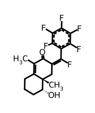 CC1=C2CCC[C@@H](O)[C@@]2(C)C/C(=C(\F)c2c(F)c(F)c(F)c(F)c2F)C1=O